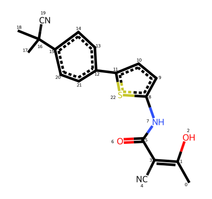 CC(O)=C(C#N)C(=O)Nc1ccc(-c2ccc(C(C)(C)C#N)cc2)s1